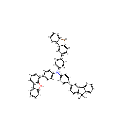 CC1(C)c2ccccc2-c2cc(-c3ccc(N(c4ccc(-c5ccc6sc7ccccc7c6c5)cc4)c4ccc(-c5cccc6c5oc5ccccc56)cc4)cc3)ccc21